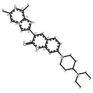 CCN(CC)C1CCN(c2ccc3cc(-c4cn5cc(C)nc(C)c5n4)c(=O)oc3c2)CC1